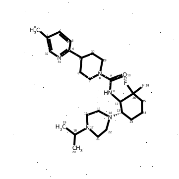 Cc1ccc(C2CCN(C(=O)NC3[C@@H](N4CCN(C(C)C)CC4)CCCC3(F)F)CC2)nc1